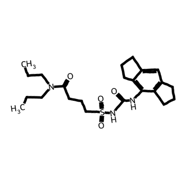 CCCN(CCC)C(=O)CCCS(=O)(=O)NC(=O)Nc1c2c(cc3c1CCC3)CCC2